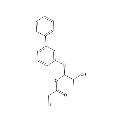 C=CC(=O)OC(Oc1cccc(-c2ccccc2)c1)C(C)O